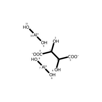 O=C([O-])C(O)C(O)C(=O)[O-].[OH][Al+][OH].[OH][Al+][OH]